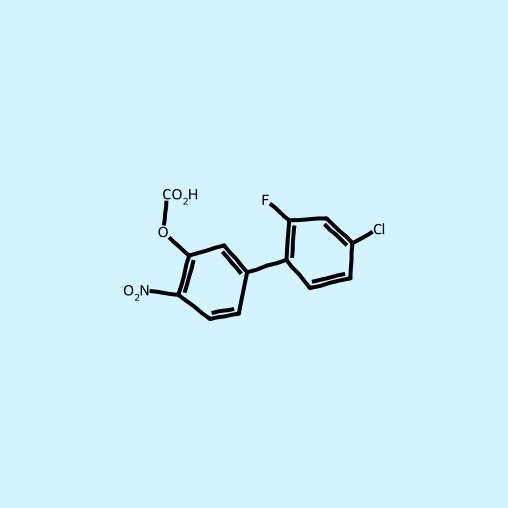 O=C(O)Oc1cc(-c2ccc(Cl)cc2F)ccc1[N+](=O)[O-]